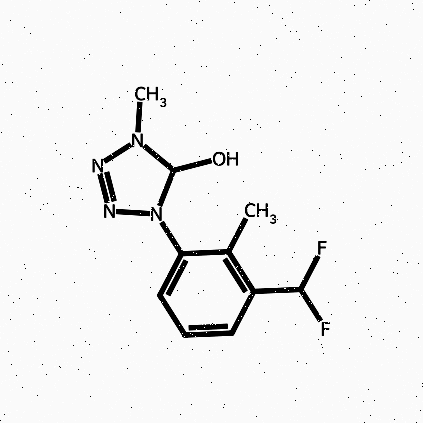 Cc1c(C(F)F)cccc1N1N=NN(C)C1O